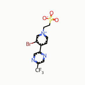 O=S(=O)([O-])CC[n+]1ccc(-c2cnc(C(F)(F)F)cn2)c(Br)c1